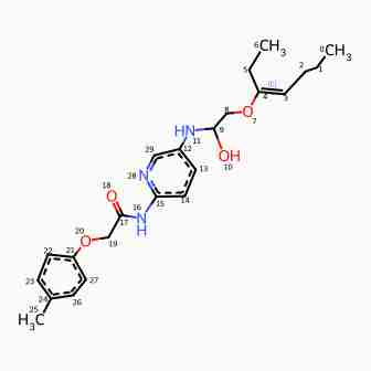 CCC/C=C(\CC)OCC(O)Nc1ccc(NC(=O)COc2ccc(C)cc2)nc1